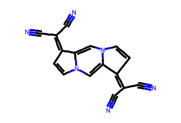 N#CC(C#N)=c1ccn2cc3c(=C(C#N)C#N)ccn3cc12